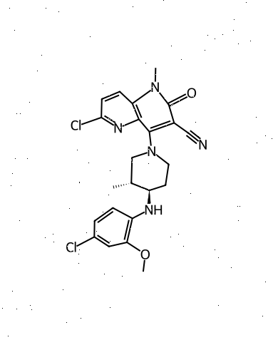 COc1cc(Cl)ccc1N[C@@H]1CCN(c2c(C#N)c(=O)n(C)c3ccc(Cl)nc23)C[C@H]1C